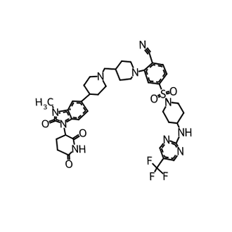 Cn1c(=O)n(C2CCC(=O)NC2=O)c2ccc(C3CCN(CC4CCN(c5cc(S(=O)(=O)N6CCC(Nc7ncc(C(F)(F)F)cn7)CC6)ccc5C#N)CC4)CC3)cc21